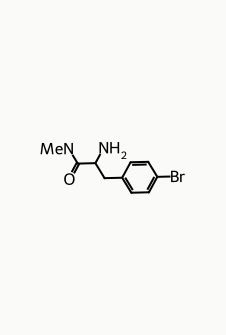 CNC(=O)C(N)Cc1ccc(Br)cc1